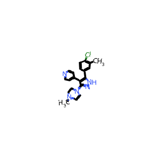 Cc1cc(-c2[nH]nc(N3CCN(C)CC3)c2-c2ccncc2)ccc1Cl